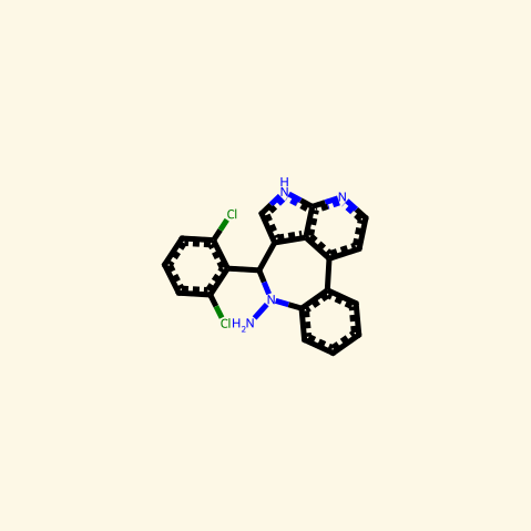 NN1c2ccccc2-c2ccnc3[nH]cc(c23)C1c1c(Cl)cccc1Cl